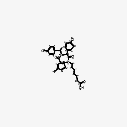 CC(c1ccc(Cl)cc1)N1C(=O)c2cc(I)ccc2N(CCCCCCC(=O)O)C(=O)C1c1ccc(Cl)cc1